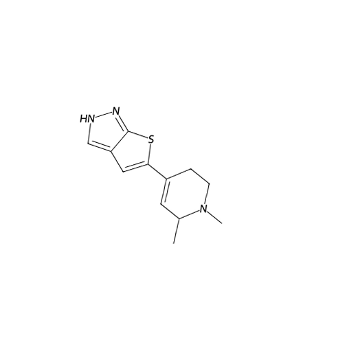 CC1C=C(c2cc3c[nH]nc3s2)CCN1C